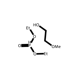 CCO[PH](=O)OCC.COCCO